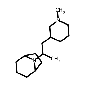 CC(CC1CCCN(C)C1)N1C2CCCC1CC2